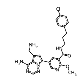 COc1ncc(-c2cc(CN)c3c(N)ncnn23)cc1C(=O)NCCCc1ccc(Cl)cc1